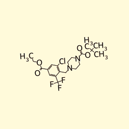 CCOC(=O)c1cc(Cl)c(CN2CCN(C(=O)OC(C)(C)C)CC2)c(C(F)(F)F)c1